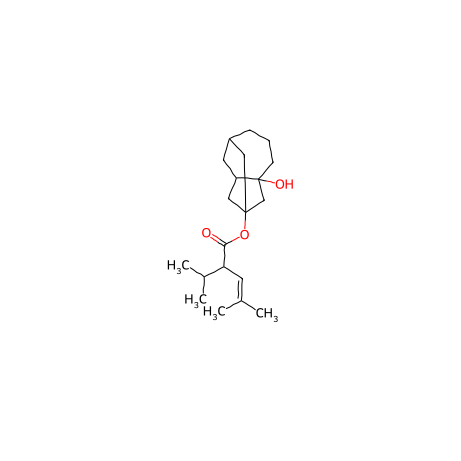 CC(C)=CC(C(=O)OC12CC3CCCC(O)(C1)C(C3)C2)C(C)C